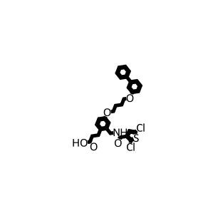 O=C(O)CCc1ccc(OCCCCOc2cccc(-c3ccccc3)c2)cc1CNC(=O)c1cc(Cl)sc1Cl